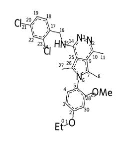 CCOc1ccc(-n2c(C)c3c(C)nnc(NCc4ccc(Cl)cc4Cl)c3c2C)c(OC)c1